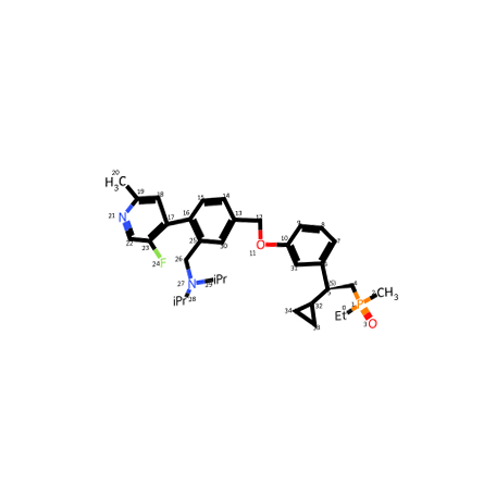 CCP(C)(=O)C[C@H](c1cccc(OCc2ccc(-c3cc(C)ncc3F)c(CN(C(C)C)C(C)C)c2)c1)C1CC1